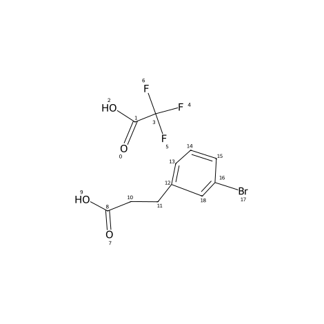 O=C(O)C(F)(F)F.O=C(O)CCc1cccc(Br)c1